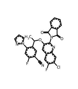 CC(Oc1cc2cc(F)c(Cl)cc2nc1N1C(=O)c2ccccc2C1=O)c1cc(C#N)c(F)cc1-n1cccn1